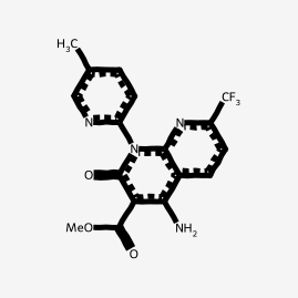 COC(=O)c1c(N)c2ccc(C(F)(F)F)nc2n(-c2ccc(C)cn2)c1=O